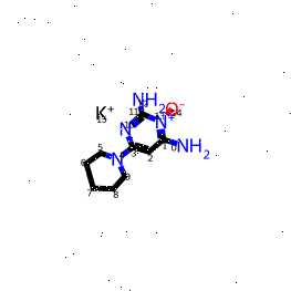 Nc1cc(N2CCCCC2)nc(N)[n+]1[O-].[K+]